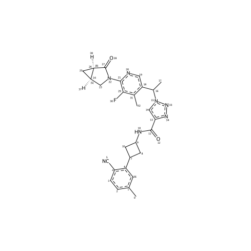 Cc1ccc(C#N)c(C2CC(NC(=O)c3cn(C(C)c4cnc(N5C[C@H]6C[C@H]6C5=O)c(F)c4C)nn3)C2)c1